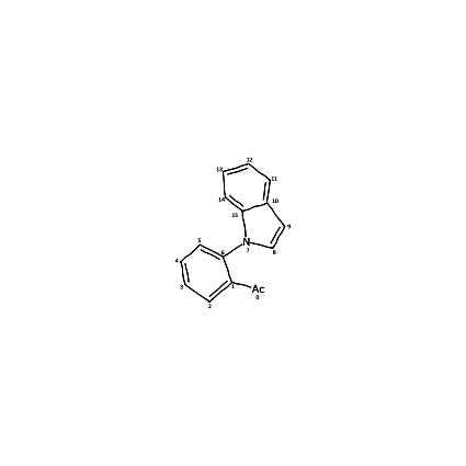 CC(=O)c1ccccc1-n1ccc2ccccc21